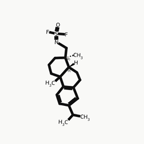 CC(C)c1ccc2c(c1)CC[C@@H]1C2(C)CCC[C@@]1(C)CN=S(=O)(F)F